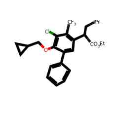 CCOC(=O)C(CC(C)C)c1cc(-c2ccccc2)c(OCC2CC2)c(Cl)c1C(F)(F)F